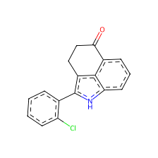 O=C1CCc2c(-c3ccccc3Cl)[nH]c3cccc1c23